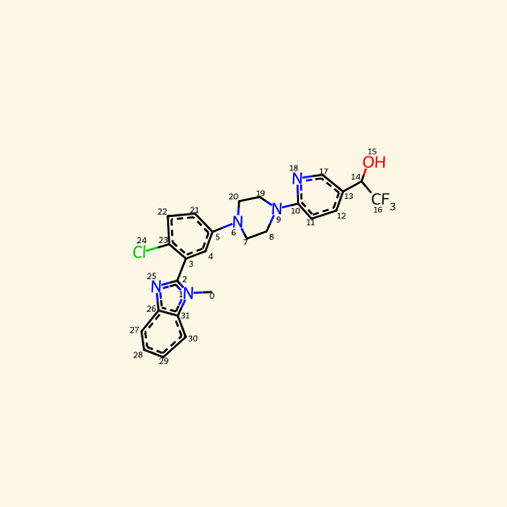 Cn1c(-c2cc(N3CCN(c4ccc(C(O)C(F)(F)F)cn4)CC3)ccc2Cl)nc2ccccc21